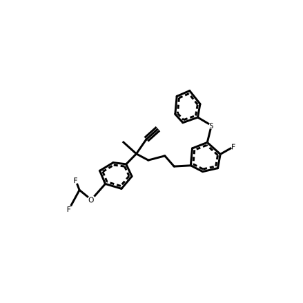 C#CC(C)(CCCc1ccc(F)c(Sc2ccccc2)c1)c1ccc(OC(F)F)cc1